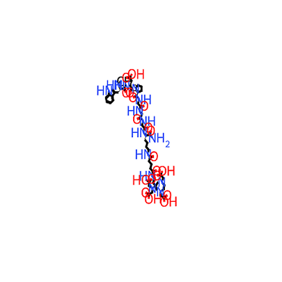 CN[C@@H](Cc1c[nH]c2ccccc12)C(=O)N[C@@H](CC(=O)O)C(=O)N1CCC[C@H]1C(=O)NCC(=O)NCC(=O)NCC(=O)N[C@@H](CCCCNC(=O)CCCC(=O)NCCC1(N(CC(=O)O)CC(=O)O)CN(CC(=O)O)CCN(CC(=O)O)C1)C(N)=O